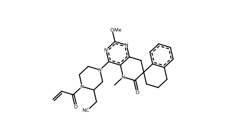 C=CC(=O)N1CCN(c2nc(OC)nc3c2N(C)C(=O)C2(CCCc4ccccc42)C3)CC1CC#N